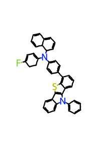 FC1=CC=C(N(c2ccc(-c3cccc4c3sc3c5ccccc5n(-c5ccccc5)c43)cc2)C2C=CC=C3C=CC=CC32)CC1